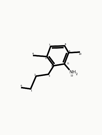 CCCCc1c(C)ccc(C)c1N